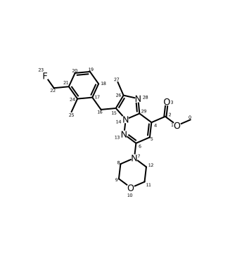 COC(=O)c1cc(N2CCOCC2)nn2c(Cc3cccc(CF)c3C)c(C)nc12